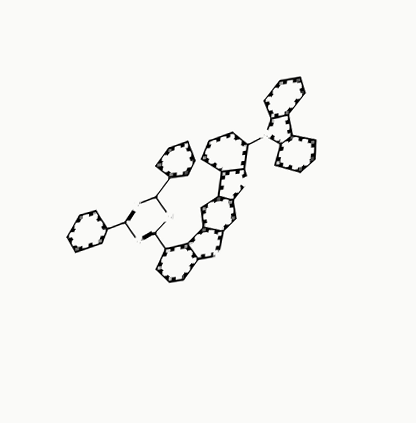 c1ccc(C2=NC(c3ccccc3)NC(c3cccc4oc5cc6sc7c(-n8c9ccccc9c9ccccc98)cccc7c6cc5c34)=N2)cc1